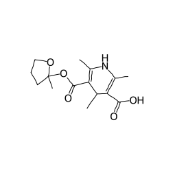 CC1=C(C(=O)O)C(C)C(C(=O)OC2(C)CCCO2)=C(C)N1